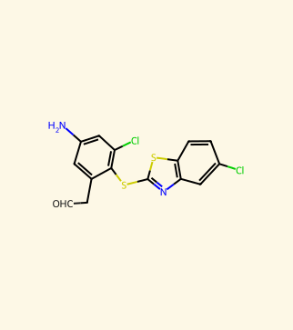 Nc1cc(Cl)c(Sc2nc3cc(Cl)ccc3s2)c(CC=O)c1